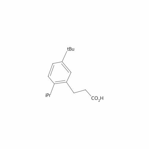 CC(C)c1ccc(C(C)(C)C)cc1CCC(=O)O